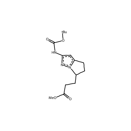 COC(=O)CCC1CCc2cc(NC(=O)OC(C)(C)C)nn21